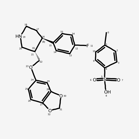 Cc1ccc(S(=O)(=O)O)cc1.Fc1ccc([C@@H]2CCNC[C@H]2COc2ccc3c(c2)OCO3)cc1